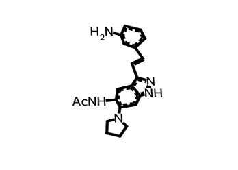 CC(=O)Nc1cc2c(C=Cc3cccc(N)c3)n[nH]c2cc1N1CCCC1